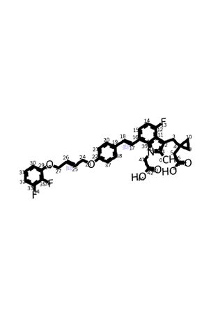 Cc1c(CC2(CC(=O)O)CC2)c2c(F)ccc(/C=C/c3ccc(OC/C=C/COc4cccc(F)c4F)cc3)c2n1CC(=O)O